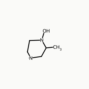 CC1C[N]CCN1O